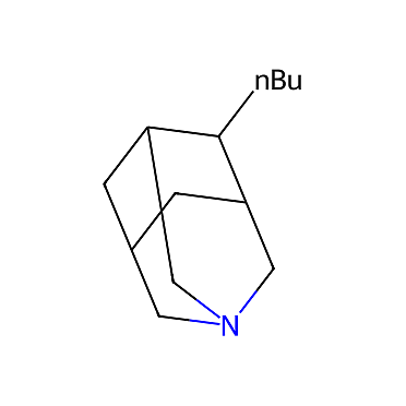 CCCCC1C2CC3CC1CN(C3)C2